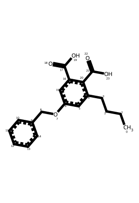 CCCCc1cc(OCc2ccccc2)cc(C(=O)O)c1C(=O)O